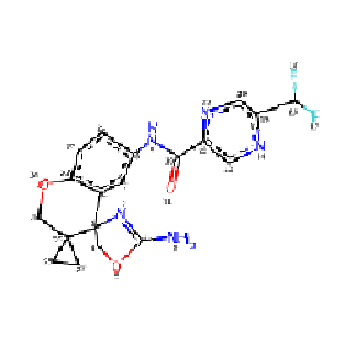 NC1=NC2(CO1)c1cc(NC(=O)c3cnc(C(F)F)cn3)ccc1OCC21CC1